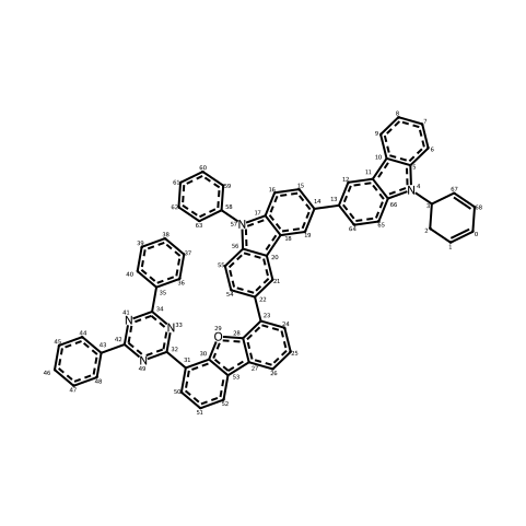 C1=CCC(n2c3ccccc3c3cc(-c4ccc5c(c4)c4cc(-c6cccc7c6oc6c(-c8nc(-c9ccccc9)nc(-c9ccccc9)n8)cccc67)ccc4n5-c4ccccc4)ccc32)C=C1